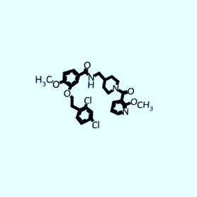 COc1ccc(C(=O)NCC2CCN(C(=O)c3cccnc3OC)CC2)cc1OCCc1ccc(Cl)cc1Cl